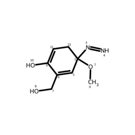 COC1(N=N)C=C(CO)C(O)=CC1